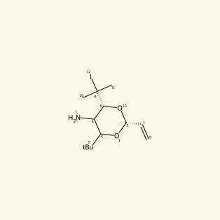 C=C[C@@H]1OC(C(C)(C)C)C(N)[C@H](C(C)(C)I)O1